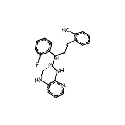 N#Cc1ccccc1CC[C@H](c1ccccc1F)[C@H]1CNc2cccnc2N1